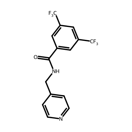 O=C(NCc1ccncc1)c1cc(C(F)(F)F)cc(C(F)(F)F)c1